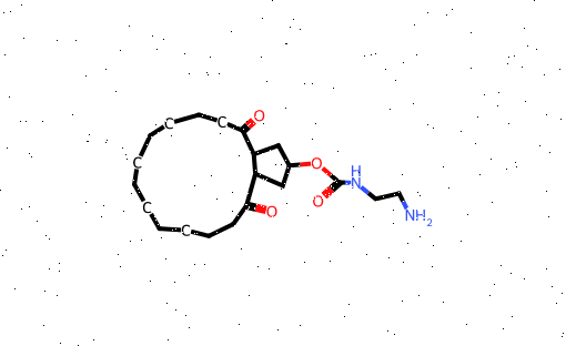 NCCNC(=O)OC1CC2C(=O)CCCCCCCCCCCC(=O)C2C1